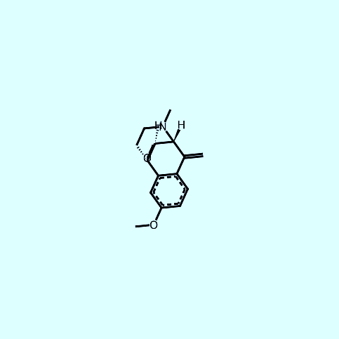 C=C1c2ccc(OC)cc2[C@]23CCN(C)[C@H]1[C@@H]2CCOC3